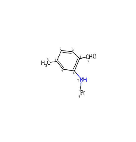 Cc1ccc(C=O)c(NC(C)C)c1